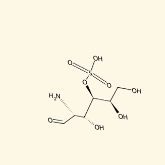 N[C@@H](C=O)[C@@H](O)[C@@H](OS(=O)(=O)O)[C@H](O)CO